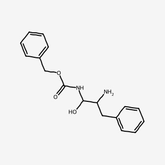 NC(Cc1ccccc1)C(O)NC(=O)OCc1ccccc1